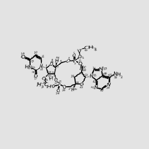 COOP1(=O)OC[C@H]2O[C@@H](n3ccc(=O)[nH]c3=O)[C@H](OC)[C@@H]2OP(=O)(O)OC[C@@H]2C[C@@H](O1)[C@H](n1cnc3c(N)ncnc31)O2